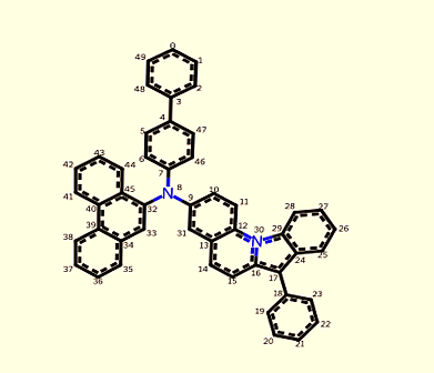 c1ccc(-c2ccc(N(c3ccc4c(ccc5c(-c6ccccc6)c6ccccc6n54)c3)c3cc4ccccc4c4ccccc34)cc2)cc1